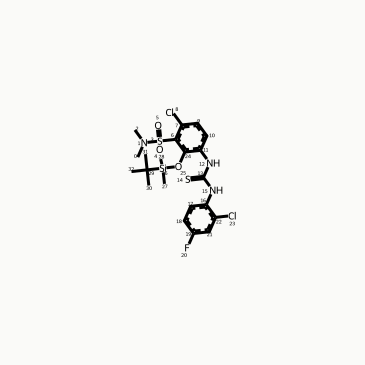 CN(C)S(=O)(=O)c1c(Cl)ccc(NC(=S)Nc2ccc(F)cc2Cl)c1O[Si](C)(C)C(C)(C)C